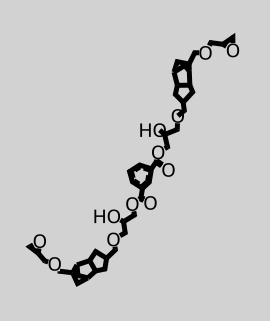 O=C(OCC(O)COCC1CC2C3CC(COCC4CO4)C(C3)C2C1)c1cccc(C(=O)OCC(O)COCC2CC3C4CC(COCC5CO5)C(C4)C3C2)c1